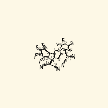 N#CC(C#N)=C1C2=C(c3cc4c(cc31)C(=C(C#N)C#N)c1c(F)c(F)c(F)c(F)c1-4)C(F)C(F)C(F)=C2F